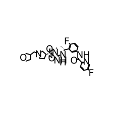 C[C@@H](NC(=N)N(C)S(=O)(=O)[C@H]1CCN(CC2CCOC2)C1)c1cc(NC(=O)c2ccc(F)cn2)ccc1F